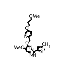 COCCCOc1ccc(COc2nn3c(-c4cc(C)on4)nnc3cc2OC)nc1